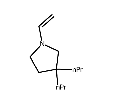 C=CN1CCC(CCC)(CCC)C1